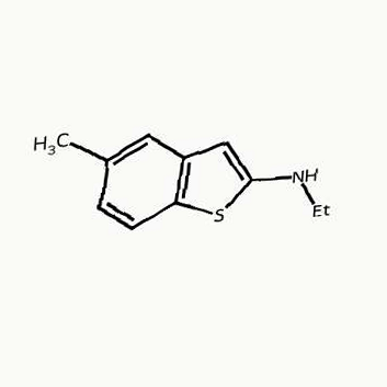 CCNc1cc2cc(C)ccc2s1